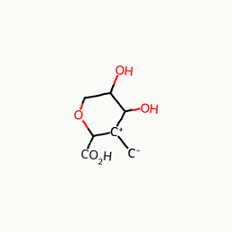 [CH2-][C+]1C(C(=O)O)OCC(O)C1O